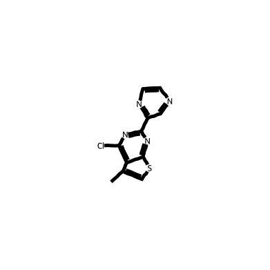 Cc1csc2nc(-c3cnccn3)nc(Cl)c12